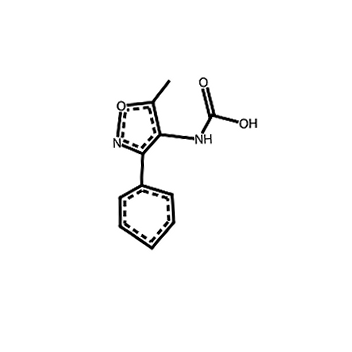 Cc1onc(-c2ccccc2)c1NC(=O)O